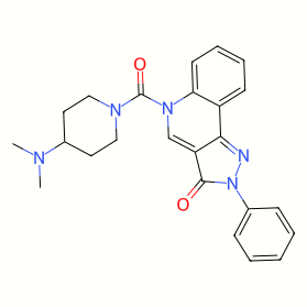 CN(C)C1CCN(C(=O)n2cc3c(=O)n(-c4ccccc4)nc-3c3ccccc32)CC1